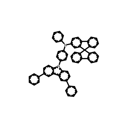 c1ccc(-c2ccc3c(c2)c2cc(-c4ccccc4)ccc2n3-c2ccc(N(c3ccccc3)c3ccc4c(c3)C3(c5ccccc5-c5ccccc53)c3ccccc3-4)cc2)cc1